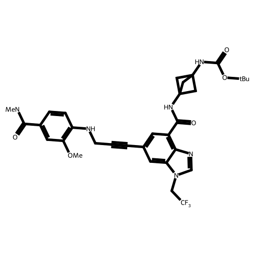 CNC(=O)c1ccc(NCC#Cc2cc(C(=O)NC34CC(NC(=O)OC(C)(C)C)(C3)C4)c3ncn(CC(F)(F)F)c3c2)c(OC)c1